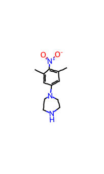 Cc1cc(N2CCNCC2)cc(C)c1[N+](=O)[O-]